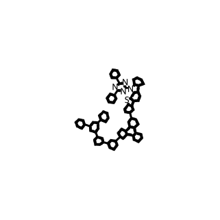 c1ccc(-c2cc(-c3ccccc3)cc(-c3cccc(-c4cccc(-c5ccc6c(c5)c5ccccc5c5ccc(-c7ccc8sc9c(ccc%10c%11ccccc%11n(-c%11nc(-c%12ccccc%12)nc(-c%12ccccc%12)n%11)c%109)c8c7)cc56)c4)c3)c2)cc1